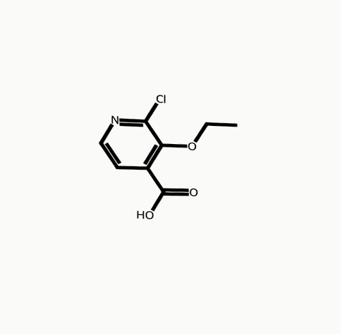 CCOc1c(C(=O)O)ccnc1Cl